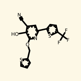 N#Cc1cc(-c2ccc(C(F)(F)F)s2)nc(OCc2cccs2)c1O